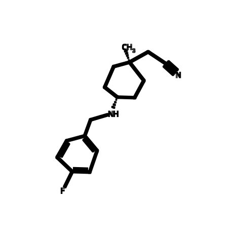 C[C@]1(CC#N)CC[C@H](NCc2ccc(F)cc2)CC1